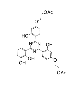 CC(=O)OCCOc1ccc(-c2nc(-c3ccc(OCCOC(C)=O)cc3O)nc(-c3cccc(O)c3O)n2)c(O)c1